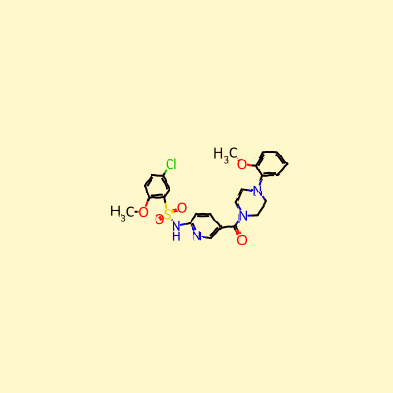 COc1ccccc1N1CCN(C(=O)c2ccc(NS(=O)(=O)c3cc(Cl)ccc3OC)nc2)CC1